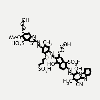 COc1c(SOOO)cc2nc(N=Nc3cc(OCCCS(=O)(=O)O)c(N=Nc4c(SOOO)cc5c(S(=O)(=O)O)c(N=Nc6c(C)c(C#N)c7nc8ccccc8n7c6O)ccc5c4O)cc3C)sc2c1S(=O)(=O)O